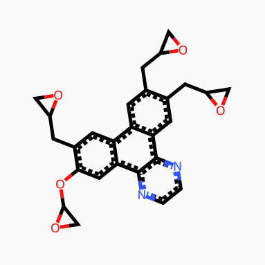 c1cnc2c3cc(OC4CO4)c(CC4CO4)cc3c3cc(CC4CO4)c(CC4CO4)cc3c2n1